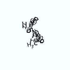 C[C@@H](NC(=O)N1CC2CCN(CC[C@](C)(CN(C)S(=O)(=O)c3ccccc3)c3ccccc3)C[C@@H]2C1)c1ccccc1